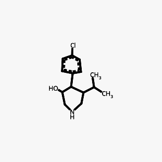 CC(C)C1CNCC(O)C1c1ccc(Cl)cc1